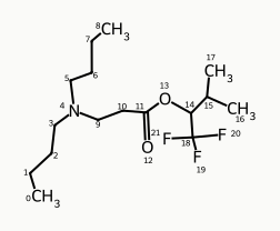 CCCCN(CCCC)CCC(=O)OC(C(C)C)C(F)(F)F